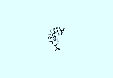 C=C(C)C(=O)OC(C)NS(=O)(=O)C(F)(F)C(F)(F)C(F)(F)C(F)(F)F